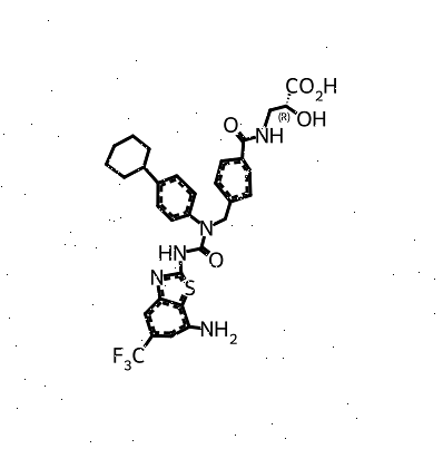 Nc1cc(C(F)(F)F)cc2nc(NC(=O)N(Cc3ccc(C(=O)NC[C@@H](O)C(=O)O)cc3)c3ccc(C4CCCCC4)cc3)sc12